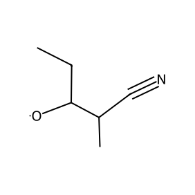 CCC([O])C(C)C#N